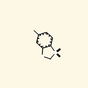 Cc1ccc2c(c1)OCS2(=O)=O